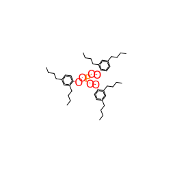 CCCCc1ccc(OOP(OOc2ccc(CCCC)cc2CCCC)OOc2ccc(CCCC)cc2CCCC)c(CCCC)c1